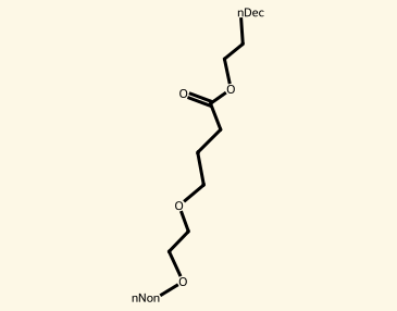 CCCCCCCCCCCCOC(=O)CCCOCCOCCCCCCCCC